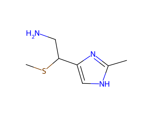 CSC(CN)c1c[nH]c(C)n1